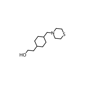 OCCC1CCC(CN2CCSCC2)CC1